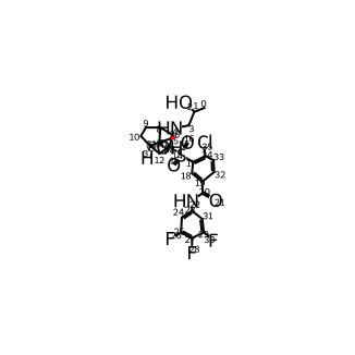 CC(O)CNC[C@@]1(O)C2CC[C@H]1C[C@H](S(=O)(=O)c1cc(C(=O)Nc3cc(F)c(F)c(F)c3)ccc1Cl)C2